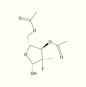 CC(=O)OC[C@H]1O[C@@H](O)[C@](C)(F)[C@@H]1OC(C)=O